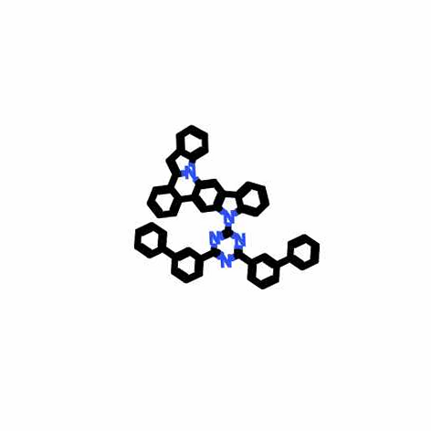 c1ccc(-c2cccc(-c3nc(-c4cccc(-c5ccccc5)c4)nc(-n4c5ccccc5c5cc6c(cc54)c4ccccc4c4cc5ccccc5n46)n3)c2)cc1